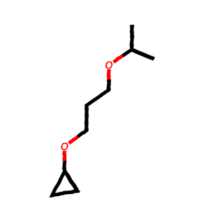 CC(C)OCCCOC1CC1